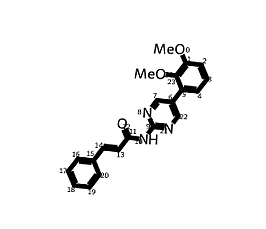 COc1cccc(-c2cnc(NC(=O)/C=C/c3ccccc3)nc2)c1OC